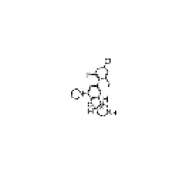 Fc1cc(Cl)cc(F)c1-c1cc2c(c(N3CCCC3)c1)O[C@H]1CCNC[C@@H]21